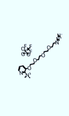 C[N+](C)(C)c1ncccc1OCCOCCOCCOCCN=[N+]=[N-].O=S(=O)([O-])C(F)(F)F